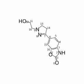 O=c1[nH]c2ccc(C3=NN(CCO)CC3)cc2o1